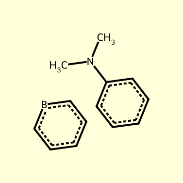 CN(C)c1ccccc1.b1ccccc1